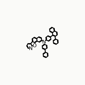 c1ccc(-c2ccc(N(c3ccc(-c4c(-c5ccccc5)ccc5ccccc45)cc3)c3ccc4ccc5c6cccnc6oc5c4c3)cc2)cc1